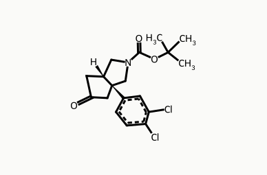 CC(C)(C)OC(=O)N1C[C@H]2CC(=O)C[C@@]2(c2ccc(Cl)c(Cl)c2)C1